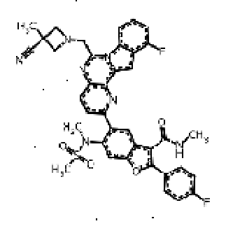 CNC(=O)c1c(-c2ccc(F)cc2)oc2cc(N(C)S(C)(=O)=O)c(-c3ccc4nc(CN5CC(C)(C#N)C5)n5c6cccc(F)c6cc5c4n3)cc12